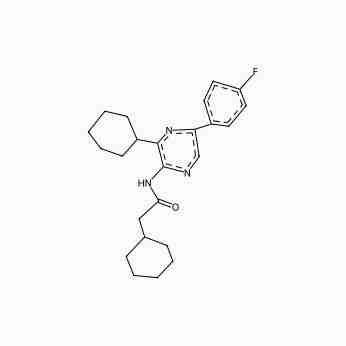 O=C(CC1CCCCC1)Nc1ncc(-c2ccc(F)cc2)nc1C1CCCCC1